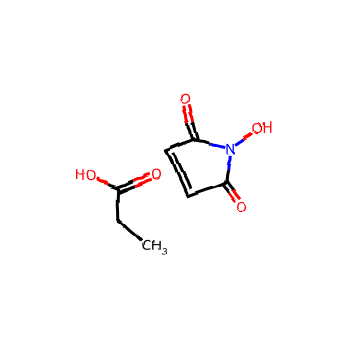 CCC(=O)O.O=C1C=CC(=O)N1O